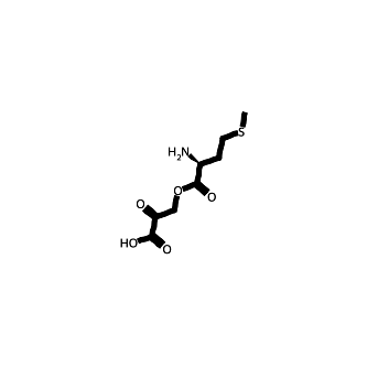 CSCC[C@H](N)C(=O)OCC(=O)C(=O)O